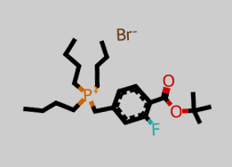 CCCC[P+](CCCC)(CCCC)Cc1ccc(C(=O)OC(C)(C)C)c(F)c1.[Br-]